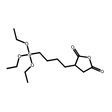 CCO[Si](CCCCC1CC(=O)OC1=O)(OCC)OCC